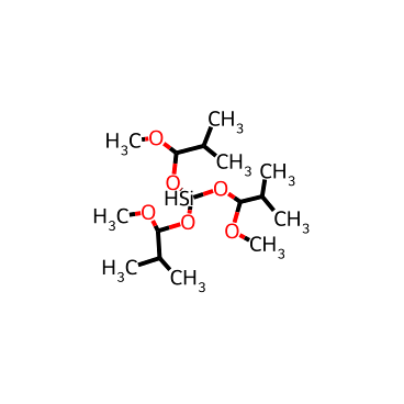 COC(O[SiH](OC(OC)C(C)C)OC(OC)C(C)C)C(C)C